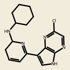 Clc1cnc2[nH]cc(C3=NC(NC4CCCCC4)CC=C3)c2n1